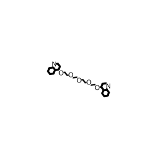 c1ccc2c(OCCOCCOCCOCCOc3ccnc4ccccc34)ccnc2c1